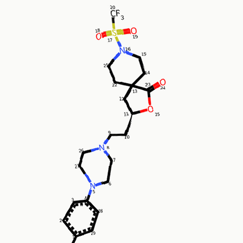 Cc1ccc(N2CCN(CC[C@H]3CC4(CCN(S(=O)(=O)C(F)(F)F)CC4)C(=O)O3)CC2)cc1